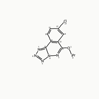 CC(C)Oc1nn2nnnc2c2ccc(Cl)cc12